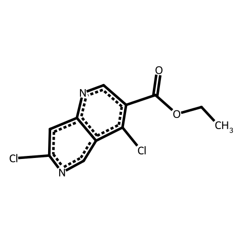 CCOC(=O)c1cnc2cc(Cl)ncc2c1Cl